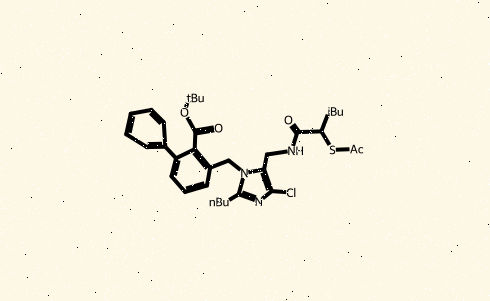 CCCCc1nc(Cl)c(CNC(=O)C(SC(C)=O)C(C)CC)n1Cc1cccc(-c2ccccc2)c1C(=O)OC(C)(C)C